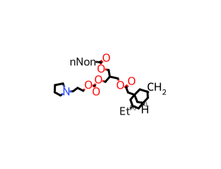 C=C1C[C@H]2C[C@@H](CC)CC(CC(=O)OCC(COC(=O)CCCCCCCCC)COC(=O)OCCCN3CCCC3)(C1)C2